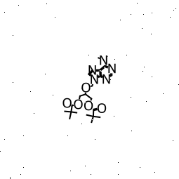 CN(C)c1ncnc2c1ncn2COC(COC(=O)C(C)(C)C)COC(=O)C(C)(C)C